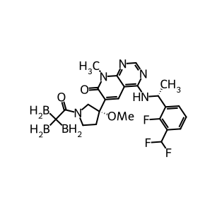 BC(B)(B)C(=O)N1CC[C@](OC)(c2cc3c(N[C@H](C)c4cccc(C(F)F)c4F)ncnc3n(C)c2=O)C1